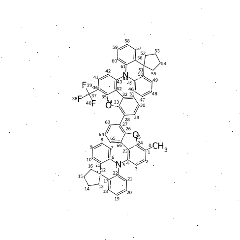 Cc1ccc(N2c3ccccc3C3(CCCC3)c3ccccc32)c2c1oc1c(-c3cccc4c3oc3c(C(F)(F)F)ccc(N5c6ccccc6C6(CCCC6)c6ccccc65)c34)cccc12